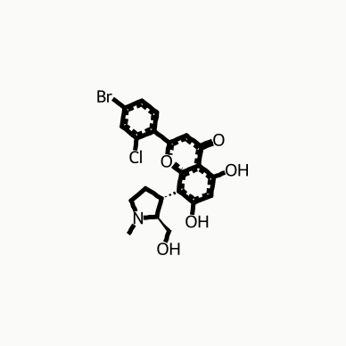 CN1CC[C@H](c2c(O)cc(O)c3c(=O)cc(-c4ccc(Br)cc4Cl)oc23)[C@H]1CO